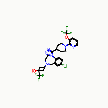 OC1(C(F)(F)F)CC(N2Cc3cc(Cl)ccc3-n3c(nnc3C3CCN(c4ncccc4OC(F)(F)F)CC3)C2)C1